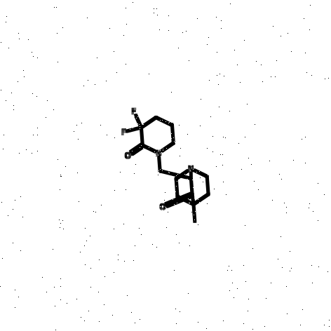 CC12CCN(CC1)C(CN1CCCC(F)(F)C1=O)C2=O